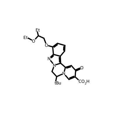 CCOC(CC)COc1cccc2c3n(nc12)CC(C(C)(C)C)n1cc(C(=O)O)c(=O)cc1-3